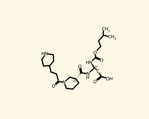 CC(C)CCOC(=O)N[C@@H](CC(=O)O)NC(=O)[C@@H]1CCCN(C(=O)CCC2CCNCC2)C1